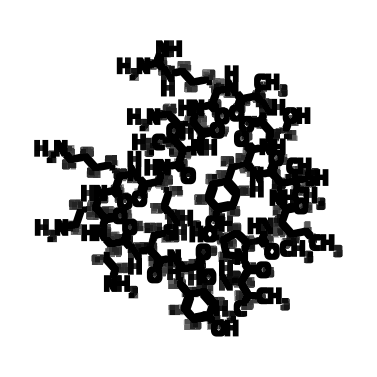 CC[C@H](C)[C@H](NC(=O)[C@@H]1C[C@@H](O)CN1C(=O)[C@@H](N)C(C)C)C(=O)N[C@H](C(=O)N[C@@H](Cc1ccc(O)cc1)C(=O)N[C@@H](CO)C(=O)N[C@@H](C)C(=O)N[C@@H](CCCNC(=N)N)C(=O)N[C@@H](CCN)C(=O)N[C@H](C(=O)N[C@H](CCN)C(=O)N[C@@H](CCCCN)C(=O)N[C@@H](CCN)C(=O)N[C@@H](CCN)C(=O)N[C@@H](CS)C(=O)N[C@@H](Cc1ccc(O)cc1)C(=O)O)[C@@H](C)O)C(C)(C)S